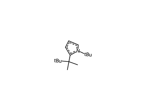 CC(C)(C)n1cccc1C(C)(C)C(C)(C)C